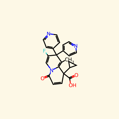 CC1=C2N(C=C(F)C1(c1ccncc1)c1ccncc1)C(=O)C=CC2(C(=O)O)C1CC1